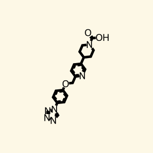 O=C(O)N1CCC(c2ccc(COc3ccc(-n4cnnn4)cc3)nc2)CC1